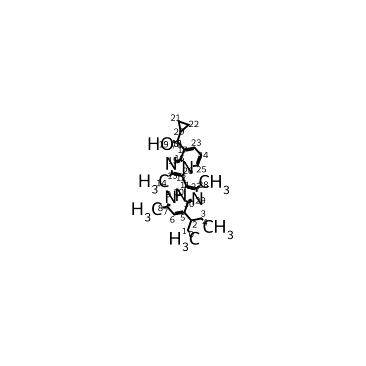 CCC(CC)c1cc(C)nn2c(-c3c(C)nc4c([C@@H](O)C5CC5)cccn34)c(C)nc12